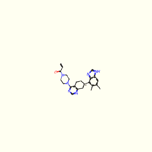 C=CC(=O)N1CCN(c2ncnc3c2CC[C@@H](c2c(C)c(C)cc4[nH]cnc24)C3)CC1